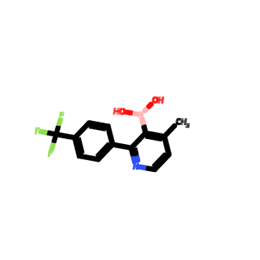 Cc1ccnc(-c2ccc(C(F)(F)F)cc2)c1B(O)O